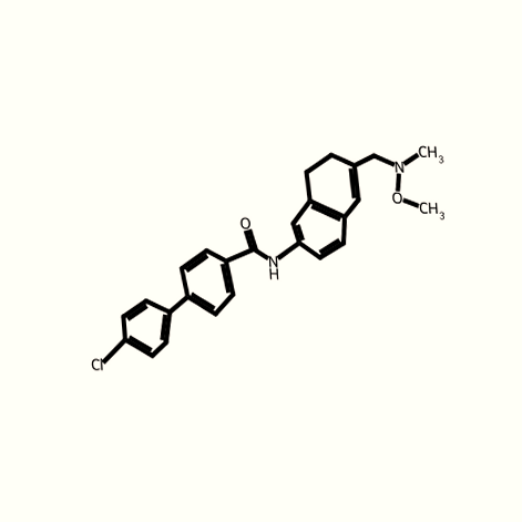 CON(C)CC1=Cc2ccc(NC(=O)c3ccc(-c4ccc(Cl)cc4)cc3)cc2CC1